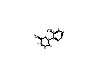 O=C1CC(c2ccccc2Cl)CC[N]1